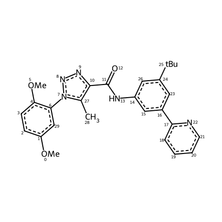 COc1ccc(OC)c(-n2nnc(C(=O)Nc3cc(-c4ccccn4)cc(C(C)(C)C)c3)c2C)c1